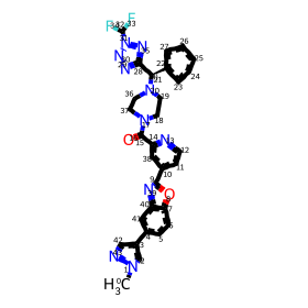 Cn1cc(-c2ccc3oc(-c4ccnc(C(=O)N5CCN([C@H](c6ccccc6)c6nnn(C(F)F)n6)CC5)c4)nc3c2)cn1